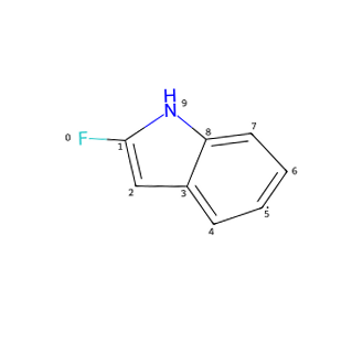 Fc1cc2c[c]ccc2[nH]1